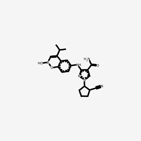 CC(C)C1=CB(O)Oc2ccc(Nc3nn(C4CCCC4C#N)cc3C(N)=O)cc21